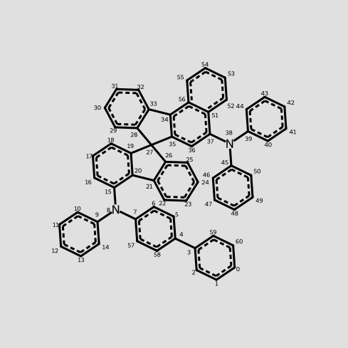 c1ccc(-c2ccc(N(c3ccccc3)c3cccc4c3-c3ccccc3C43c4ccccc4-c4c3cc(N(c3ccccc3)c3ccccc3)c3ccccc43)cc2)cc1